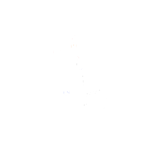 NC(/C=C/O[PH](=O)O)c1ccccc1